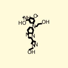 CNC(O)c1cc(OC)cc(N(CCCO)c2ccc3ncc(-c4cnn(CCO)c4)nc3c2)c1